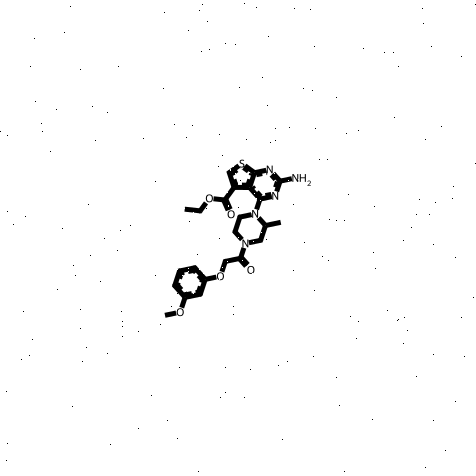 CCOC(=O)c1csc2nc(N)nc(N3CCN(C(=O)COc4cccc(OC)c4)CC3C)c12